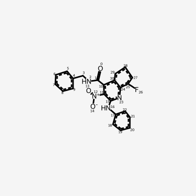 O=C(NCc1ccccc1)c1c([N+](=O)[O-])c(Nc2ccccc2)nc2c(F)cccc12